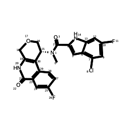 CN(C(=O)c1cc2c(Cl)cc(F)cc2[nH]1)[C@H]1COCc2[nH]c(=O)c3cc(F)ccc3c21